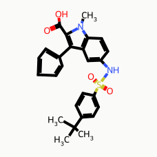 Cn1c(C(=O)O)c(-c2ccccc2)c2cc(NS(=O)(=O)c3ccc(C(C)(C)C)cc3)ccc21